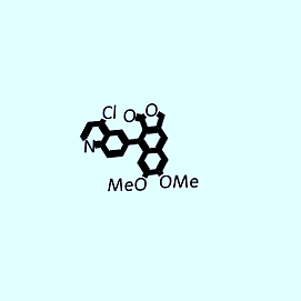 COc1cc2cc3c(c(-c4ccc5nccc(Cl)c5c4)c2cc1OC)C(=O)OC3